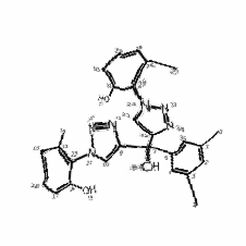 Cc1cc(C)cc(C(O)(c2cn(-c3c(C)cccc3O)nn2)c2cn(-c3c(C)cccc3O)nn2)c1